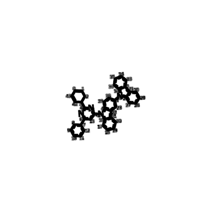 C1=CCC(c2nc(-c3ccccc3)cc(-n3c4ccccc4c4cc(-n5c6ccccc6c6ccccc65)ccc43)n2)C=C1